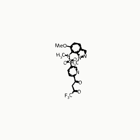 COc1ccc2cnn(C)c2c1N(C)S(=O)(=O)c1ccc(C(=O)CC(=O)C(F)(F)F)nc1